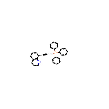 [C](#Cc1cccc2cccnc12)[Au][PH](c1ccccc1)(c1ccccc1)c1ccccc1